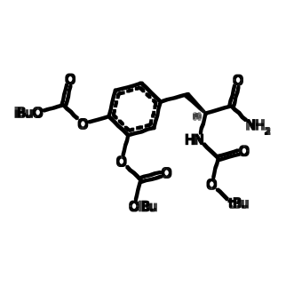 CC(C)COC(=O)Oc1ccc(C[C@H](NC(=O)OC(C)(C)C)C(N)=O)cc1OC(=O)OCC(C)C